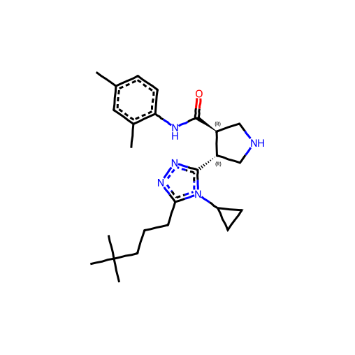 Cc1ccc(NC(=O)[C@H]2CNC[C@@H]2c2nnc(CCCC(C)(C)C)n2C2CC2)c(C)c1